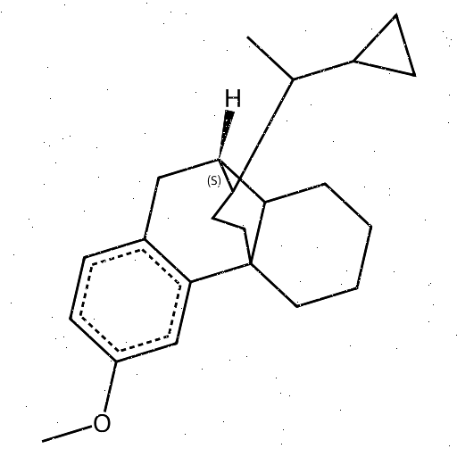 COc1ccc2c(c1)C13CCCCC1[C@@H](C2)C(C(C)C1CC1)CC3